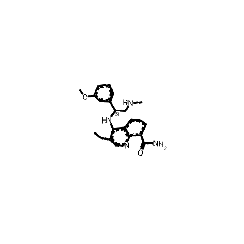 CCc1cnc2c(C(N)=O)cccc2c1N[C@H](CNC)c1cccc(OC)c1